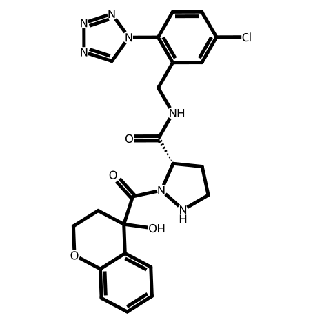 O=C(NCc1cc(Cl)ccc1-n1cnnn1)[C@@H]1CCNN1C(=O)C1(O)CCOc2ccccc21